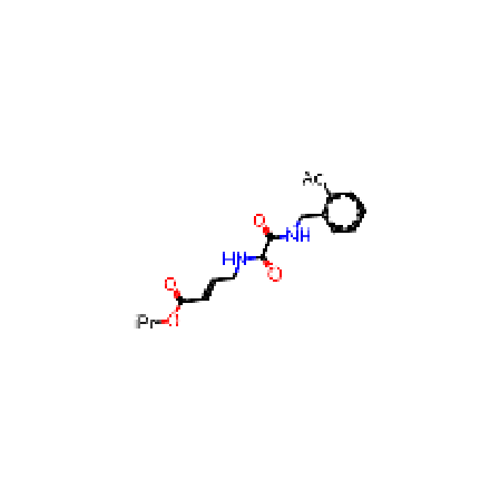 CC(=O)c1ccccc1CNC(=O)C(=O)NC/C=C/C(=O)OC(C)C